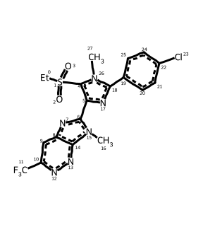 CCS(=O)(=O)c1c(-c2nc3cc(C(F)(F)F)nnc3n2C)nc(-c2ccc(Cl)cc2)n1C